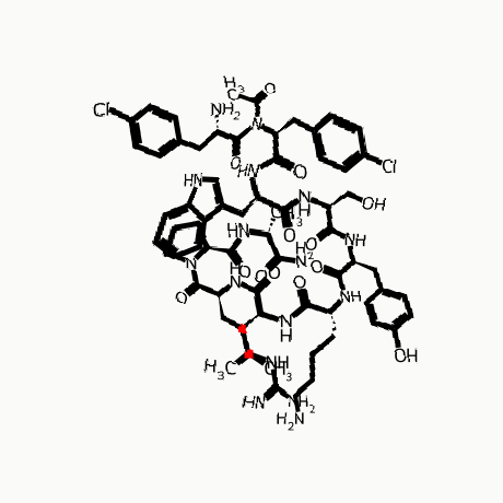 CC(=O)N(C(=O)[C@@H](N)Cc1ccc(Cl)cc1)[C@@H](Cc1ccc(Cl)cc1)C(=O)N[C@H](Cc1c[nH]c2ccccc12)C(=O)N[C@@H](CO)C(=O)N[C@@H](Cc1ccc(O)cc1)C(=O)N[C@H](CCCCN)C(=O)N[C@@H](CC(C)C)C(=O)N[C@@H](CCCNC(=N)N)C(=O)N1CCC[C@H]1C(=O)N[C@H](C)C(N)=O